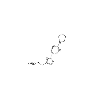 O=CCCc1ccc(-c2cnc(N3CCCC3)nc2)o1